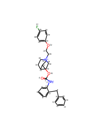 O=C(Nc1ccccc1Cc1ccccc1)OC1C[N+]2(CCOc3ccc(F)cc3)CCC1CC2